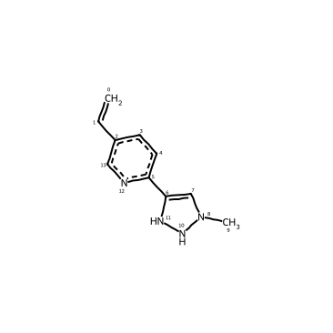 C=Cc1ccc(C2=CN(C)NN2)nc1